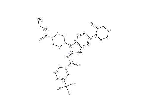 CCNC(=O)N1CCC(n2/c(=N/C(=O)c3cccc(C(F)(F)F)c3)[nH]c3cc(N4CCOCC4=O)ccc32)CC1